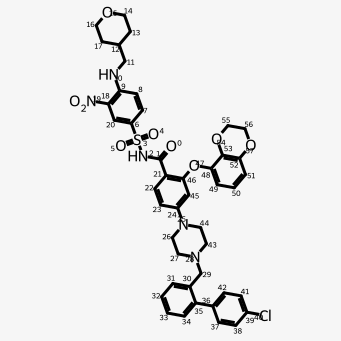 O=C(NS(=O)(=O)c1ccc(NCC2CCOCC2)c([N+](=O)[O-])c1)c1ccc(N2CCN(Cc3ccccc3-c3ccc(Cl)cc3)CC2)cc1Oc1cccc2c1OCCO2